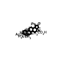 CC(=O)O[C@H]1CCC2(C)[C@H]3CCC4C5=C(C(C)C)C(=O)C[C@]5(CC(=O)O)CC[C@@]4(C)C3(C)CC[C@H]2C1(C)C